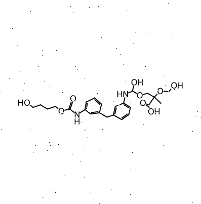 CC(COC(O)Nc1cccc(Cc2cccc(NC(=O)OCCCCO)c2)c1)(OCO)C(=O)O